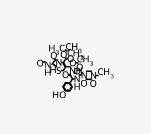 CCN1CCN(C(=O)NC(C(=O)NC(OC(C)=O)C2=C(C(=O)OC(C)(C)C)N3C(=O)[C@@H](NC=O)[C@H]3SC2)c2ccc(O)cc2)C(=O)C1=O